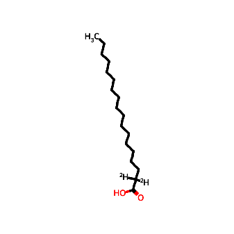 [2H]C([2H])(CCCCCCCCCCCCCCCC)C(=O)O